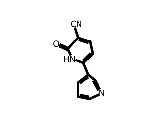 N#Cc1ccc(-c2cccnc2)[nH]c1=O